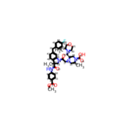 COC(=O)c1ccc(NC(=O)[C@@]2(C)CN(C(=O)CN3C[C@@H](C)N(C(=O)O)C[C@@H]3CN3CCOC[C@H]3C)c3cc(Cc4ccc(F)cc4)ccc32)cc1